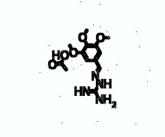 CC(=O)O.COc1cc(/C=N/NC(=N)N)cc(OC)c1OC